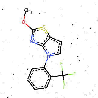 COc1nc2c(ccn2-c2ccccc2C(F)(F)F)s1